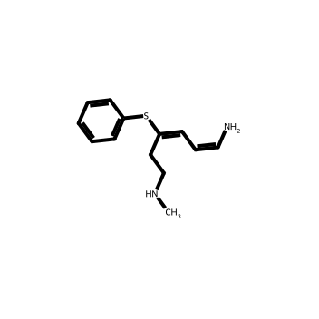 CNCC/C(=C\C=C/N)Sc1ccccc1